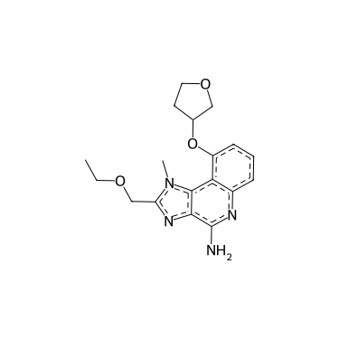 CCOCc1nc2c(N)nc3cccc(OC4CCOC4)c3c2n1C